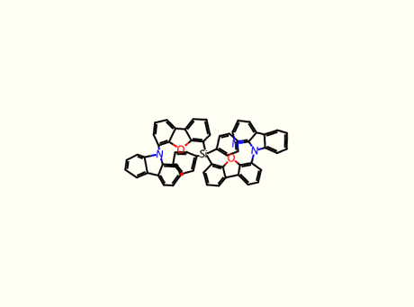 c1ccc([Si](c2ccccc2)(c2cccc3c2oc2c(-n4c5ccccc5c5ccccc54)cccc23)c2cccc3c2oc2c(-n4c5ccccc5c5cccnc54)cccc23)cc1